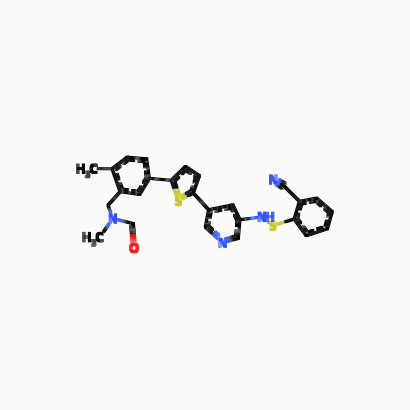 Cc1ccc(-c2ccc(-c3cncc(NSc4ccccc4C#N)c3)s2)cc1CN(C)C=O